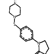 C=C1CCCN1c1ccc(SN2CCNCC2)cc1